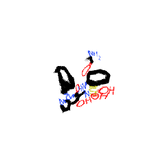 NCCOc1cccc2c1NC(c1c(O)c3cccnc3n(Cc3ccccc3)c1=O)=NS2(O)O